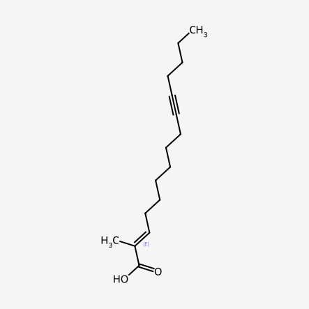 CCCCC#CCCCCCC/C=C(\C)C(=O)O